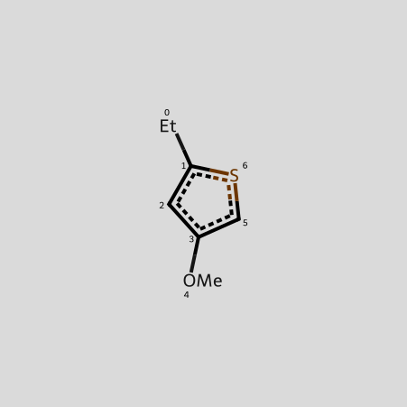 CCc1cc(OC)cs1